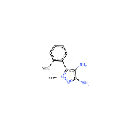 CCCn1nc(N)c(N)c1-c1ccccc1OC